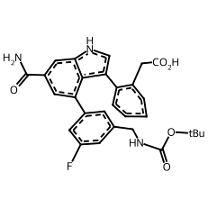 CC(C)(C)OC(=O)NCc1cc(F)cc(-c2cc(C(N)=O)cc3[nH]cc(-c4ccccc4CC(=O)O)c23)c1